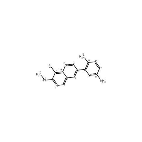 CNc1ncc2cc(-c3cc(N)ccc3C)cnc2c1Cl